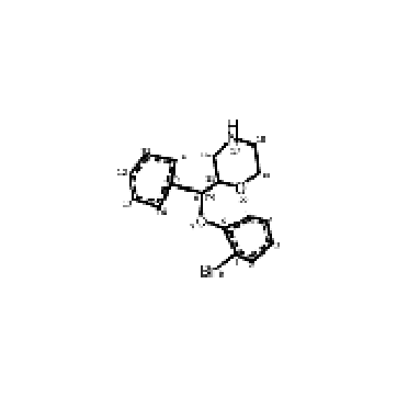 Brc1ccccc1O[C@@H](c1ccccc1)C1CNCCO1